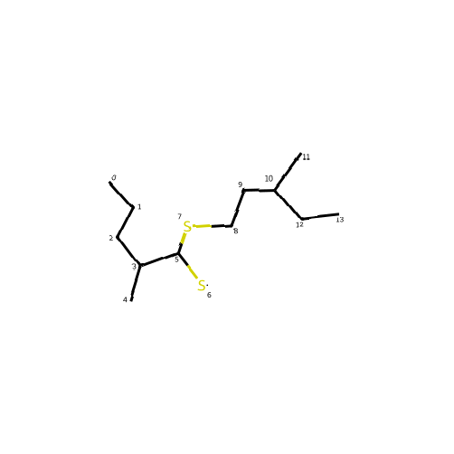 CCCC(C)C([S])SCCC(C)CC